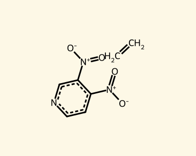 C=C.O=[N+]([O-])c1ccncc1[N+](=O)[O-]